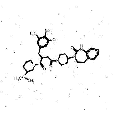 CN(C)C1CCCN(C(=O)[C@H](CC(=O)N2CCC(N3CCc4ccccc4NC3=O)CC2)Cc2cc(Cl)c(N)c(C(F)(F)F)c2)C1